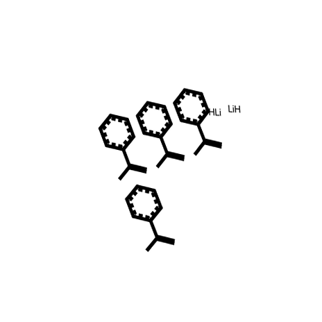 C=C(C)c1ccccc1.C=C(C)c1ccccc1.C=C(C)c1ccccc1.C=C(C)c1ccccc1.[LiH].[LiH]